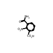 NC(=O)c1cccc(C(=O)O)c1[N+](=O)[O-]